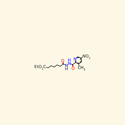 CCOC(=O)CCCCCC(=O)NNC(=O)c1ncc([N+](=O)[O-])cc1C